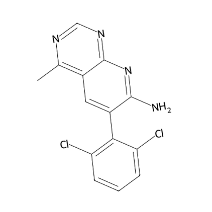 Cc1ncnc2nc(N)c(-c3c(Cl)cccc3Cl)cc12